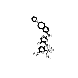 Cc1ccc(Nc2nc(Nc3ccc4c(c3)CC[C@@H](N3CCCC3)CC4)ncc2Cl)c(P(C)(C)=O)n1